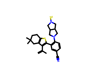 C=C(C)c1c(-c2cc(C#N)ccc2N2CC3CN(S)CC3C2)sc2c1CC(C)(C)CC2